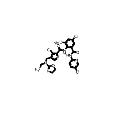 COc1cc(Cl)cc(C(=O)Nc2ccc(Cl)cn2)c1NC(=O)c1scc(CN(CC(F)(F)F)C2=NCCO2)c1Cl